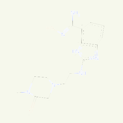 CN1CCN(CCNc2nc3cccc(C(N)=NO)c3[nH]2)CC1=O